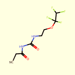 N#CCC(=O)NC(=O)NCCOC(F)(F)C(F)F